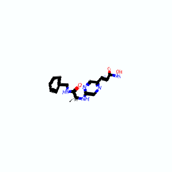 C[C@@H](Nc1cnc(/C=C/C(=O)NO)cn1)C(=O)NCc1ccccc1